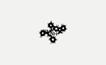 CC1(C)C2=Cc3c(c4ccccc4n3C3NC(c4ccccc4)=CC(c4ccccc4)N3)CC2c2ccccc21